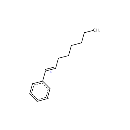 CCCCCC/C=C/c1c[c]ccc1